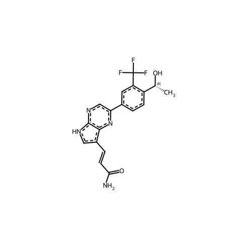 C[C@@H](O)c1ccc(-c2cnc3[nH]cc(C=CC(N)=O)c3n2)cc1C(F)(F)F